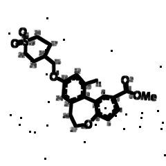 COC(=O)c1ccc2c(c1)-c1c(C)cc(OCC3CCS(=O)(=O)CC3)cc1CCO2